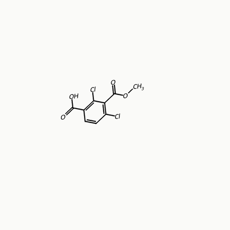 COC(=O)c1c(Cl)ccc(C(=O)O)c1Cl